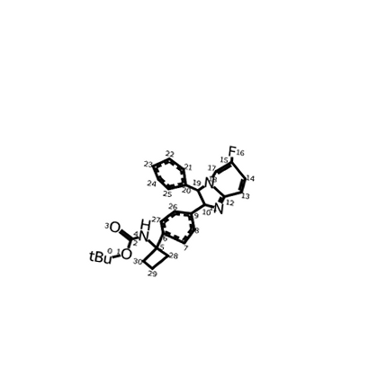 CC(C)(C)OC(=O)NC1(c2ccc(C3N=C4C=CC(F)=CN4C3c3ccccc3)cc2)CCC1